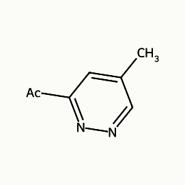 CC(=O)c1cc(C)cnn1